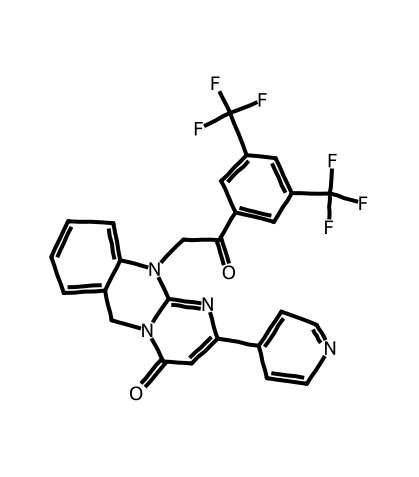 O=C(CN1c2ccccc2Cn2c1nc(-c1ccncc1)cc2=O)c1cc(C(F)(F)F)cc(C(F)(F)F)c1